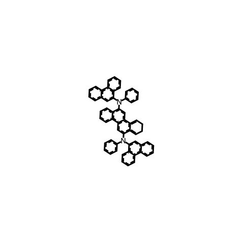 C1=c2c(N(c3ccccc3)c3cc4ccccc4c4ccccc34)cc3c(cc(N(c4ccccc4)c4cc5ccccc5c5ccccc45)c4ccccc43)c2=CCC1